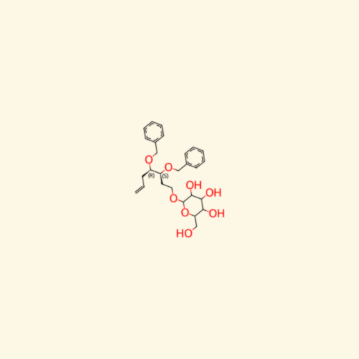 C=CC[C@@H](OCc1ccccc1)[C@H](CCOC1OC(CO)C(O)C(O)C1O)OCc1ccccc1